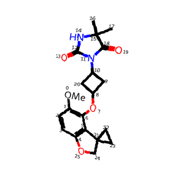 COc1ccc2c(c1OC1CC(N3C(=O)NC(C)(C)C3=O)C1)C1(CC1)CO2